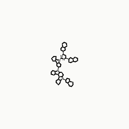 c1ccc2cc(-c3cc(-c4ccc5ccccc5c4)nc(-n4c5ccccc5c5cc(-n6c7ccccc7c7c8c9ccccc9n(-c9ccc%10ccccc%10c9)c8ccc76)ccc54)n3)ccc2c1